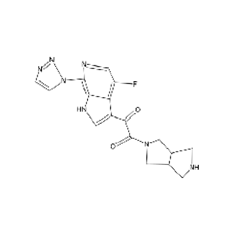 O=C(C(=O)N1CC2CNCC2C1)c1c[nH]c2c(-n3ccnn3)ncc(F)c12